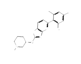 CCN1CCC[C@@H](Nc2nc3nc(-c4c(O)cc(F)cc4Cl)ccc3o2)C1